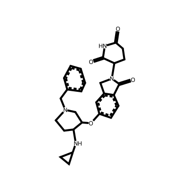 O=C1CCC(N2Cc3cc(OC4CN(Cc5ccccc5)CCC4NC4CC4)ccc3C2=O)C(=O)N1